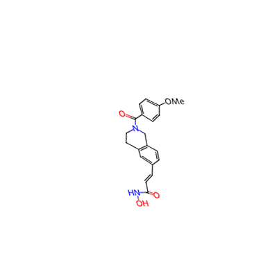 COc1ccc(C(=O)N2CCc3cc(C=CC(=O)NO)ccc3C2)cc1